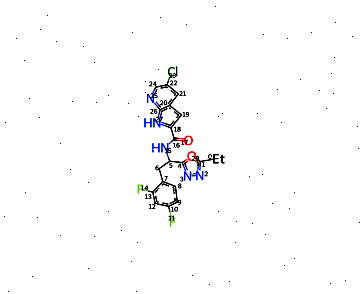 CCc1nnc(C(Cc2ccc(F)cc2F)NC(=O)c2cc3cc(Cl)cnc3[nH]2)o1